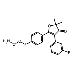 CC1(C)OC(c2ccc(SOON)cc2)=C(c2cccc(F)c2)C1=O